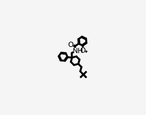 COc1ccccc1C(=O)NCC1(c2ccccc2)CCC(CCC(C)(C)C)CC1